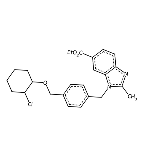 CCOC(=O)c1ccc2nc(C)n(Cc3ccc(COC4CCCCC4Cl)cc3)c2c1